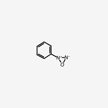 c1ccc([N+]2[N-]O2)cc1